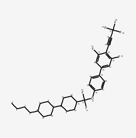 CCCCC1CCC(C2CCC(C(F)(F)Oc3ccc(-c4cc(F)c(C#CC(F)(F)F)c(F)c4)cc3)CC2)CC1